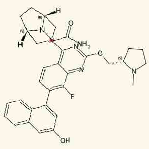 CN1CCC[C@H]1COc1nc(N2C[C@H]3CC[C@@H](C2)N3CC(N)=O)c2ccc(-c3cc(O)cc4ccccc34)c(F)c2n1